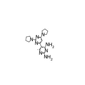 Nc1n[c]c(-c2cc(N3CCCC3)nc(N3CCCC3)n2)c(N)n1